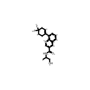 CC(CO)NC(=O)c1cnc2c(C3=CCC(F)(F)CC3)cccc2c1